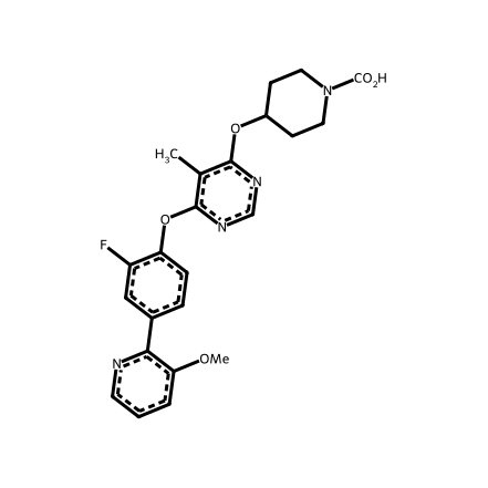 COc1cccnc1-c1ccc(Oc2ncnc(OC3CCN(C(=O)O)CC3)c2C)c(F)c1